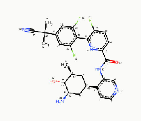 C[C@H]1C[C@@H](c2ccncc2NC(=O)c2ccc(F)c(-c3c(F)cc(C(C)(C)C#N)cc3F)n2)C[C@@H](N)[C@@H]1O